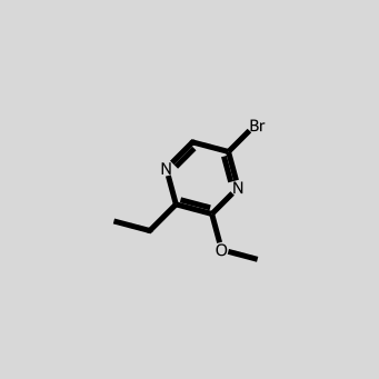 CCc1ncc(Br)nc1OC